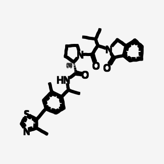 Cc1cc(-c2scnc2C)ccc1C(C)NC(=O)[C@@H]1CCCN1C(=O)C(C(C)C)N1Cc2ccccc2C1=O